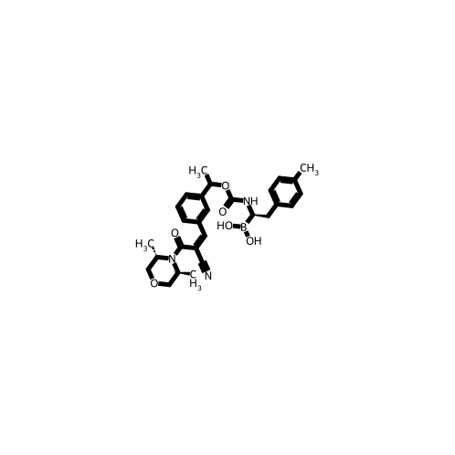 Cc1ccc(C[C@H](NC(=O)OC(C)c2cccc(C=C(C#N)C(=O)N3[C@@H](C)COC[C@@H]3C)c2)B(O)O)cc1